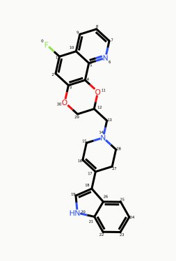 Fc1cc2c(c3ncccc13)OC(CN1CC=C(c3c[nH]c4ccccc34)CC1)CO2